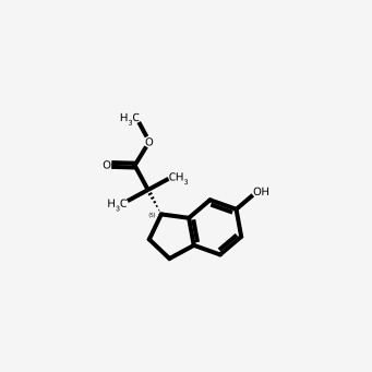 COC(=O)C(C)(C)[C@H]1CCc2ccc(O)cc21